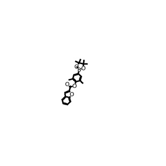 Cc1cc(B2OC(C)(C)C(C)(C)O2)cc(C)c1OC(=O)c1cc2ccccc2o1